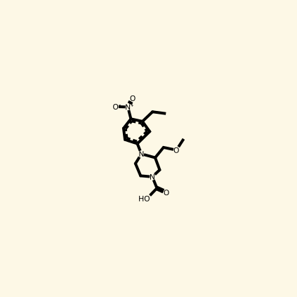 CCc1cc(N2CCN(C(=O)O)CC2COC)ccc1[N+](=O)[O-]